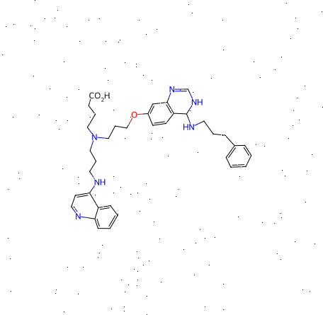 O=C(O)CCCN(CCCNc1ccnc2ccccc12)CCCOc1ccc2c(c1)N=CNC2NCCCc1ccccc1